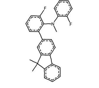 CN(c1ccccc1F)c1c(F)cccc1-c1ccc2c(c1)C(C)(C)c1ccccc1-2